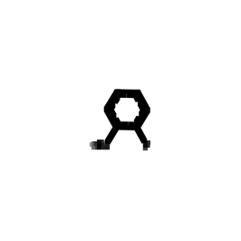 CCC[CH]c1ccccc1F